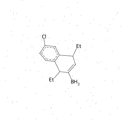 BC1=CC(CC)c2cc(Cl)ccc2C1CC